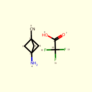 N#CC12CC(N)(C1)C2.O=C(O)C(F)(F)F